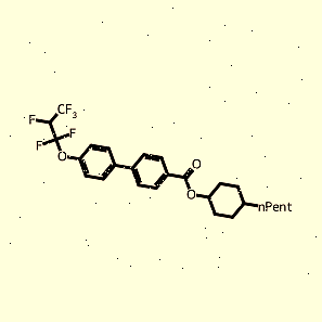 CCCCCC1CCC(OC(=O)c2ccc(-c3ccc(OC(F)(F)C(F)C(F)(F)F)cc3)cc2)CC1